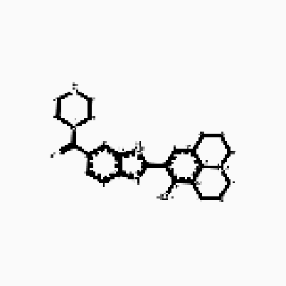 O=C(c1ccc2nc(-c3cc4c5c(c3O)CCCN5CCC4)[nH]c2c1)N1CCOCC1